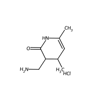 CC1=CC(C)C(CN)C(=O)N1.Cl